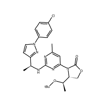 Cc1cc(N2C(=O)OC[C@@H]2[C@@H](C)OC(C)(C)C)nc(N[C@@H](C)c2ccn(-c3ccc(Cl)cc3)n2)n1